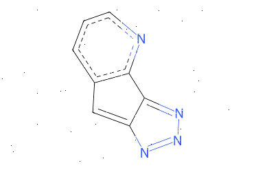 C1=C2N=NN=C2c2ncccc21